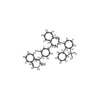 Cc1cc(-c2nc(-c3cccc4c3-c3ccccc3C4(C)C)nc3ccccc23)ccc1C1=c2ccccc2=CCN1